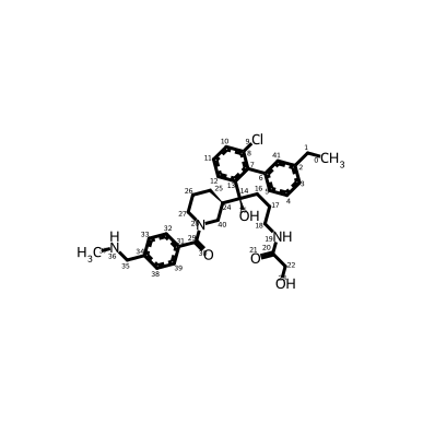 CCc1cccc(-c2c(Cl)cccc2[C@](O)(CCCNC(=O)CO)[C@@H]2CCCN(C(=O)c3ccc(CNC)cc3)C2)c1